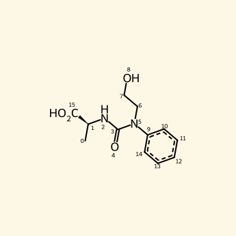 C[C@H](NC(=O)N(CCO)c1ccccc1)C(=O)O